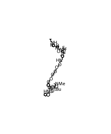 CNC(C)C(=O)NC(C(=O)N1Cc2cc(OCCOCCOCCOCCOCCOCCNCc3ccc(-n4cc(NC(=O)c5coc(-c6ccnc(NCC7CC7)c6)n5)c(C(F)F)n4)cc3)ccc2C[C@H]1C(=O)N[C@@H]1CCCc2ccccc21)C(C)(C)C